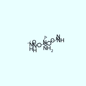 CC(C)NC(=O)Nc1ccc(-c2c(N)c3ccc(OCc4cnc[nH]4)cc3n2CC2CC2)cc1